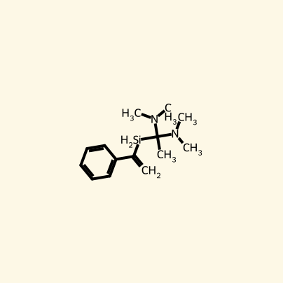 C=C([SiH2]C(C)(N(C)C)N(C)C)c1ccccc1